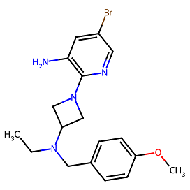 CCN(Cc1ccc(OC)cc1)C1CN(c2ncc(Br)cc2N)C1